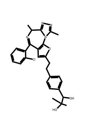 Cc1nnc2n1-c1sc(CCc3ccc(C(O)C(C)(C)O)cc3)cc1C(c1ccccc1Cl)=NC2C